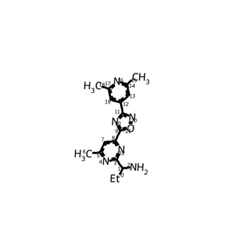 CCC(N)c1nc(C)cc(-c2nc(-c3cc(C)nc(C)c3)no2)n1